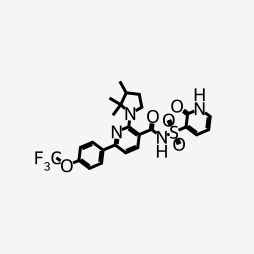 CC1CCN(c2nc(-c3ccc(OC(F)(F)F)cc3)ccc2C(=O)NS(=O)(=O)c2ccc[nH]c2=O)C1(C)C